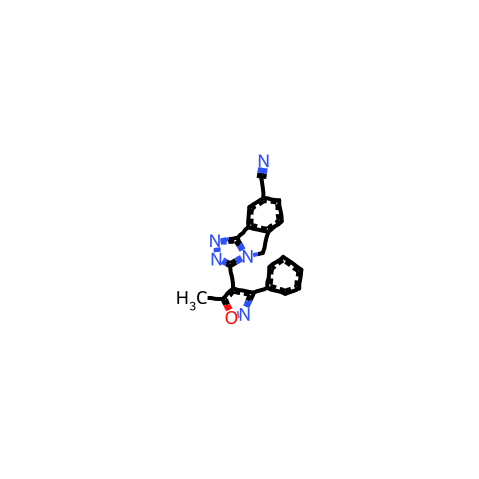 Cc1onc(-c2ccccc2)c1-c1nnc2n1Cc1ccc(C#N)cc1-2